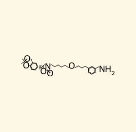 CC1(C)OCc2cc([C@@H]3CN(CCCCCCOCCCCc4cccc(CN)c4)C(=O)O3)ccc2O1